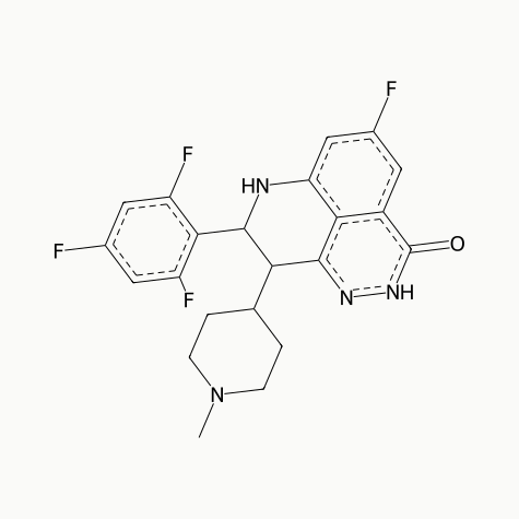 CN1CCC(C2c3n[nH]c(=O)c4cc(F)cc(c34)NC2c2c(F)cc(F)cc2F)CC1